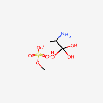 CC(N)C(O)(O)O.COS(=O)(=O)O